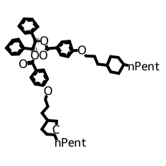 CCCCCC1CCC(CCCOc2ccc(C(=O)O[C@H](c3ccccc3)[C@H](OC(=O)c3ccc(OCCCC4CCC(CCCCC)CC4)cc3)c3ccccc3)cc2)CC1